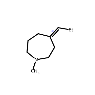 CC/C=C1/CCCN(C)CC1